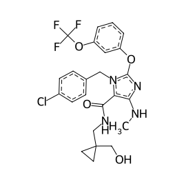 CNc1nc(Oc2cccc(OC(F)(F)F)c2)n(Cc2ccc(Cl)cc2)c1C(=O)NCC1(CO)CC1